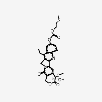 CCc1c2c(nc3ccc(OC(=O)OCCSC)cc13)-c1cc3c(c(=O)n1C2)COC(=O)[C@]3(O)CC